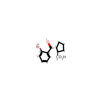 O=C(O)[C@@H]1CCC[C@H]1C(=O)c1ccccc1Br